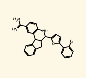 N=C(N)c1ccc2c(c1)C1c3ccccc3CC1C(c1ccc(-c3ccccc3Cl)o1)N2